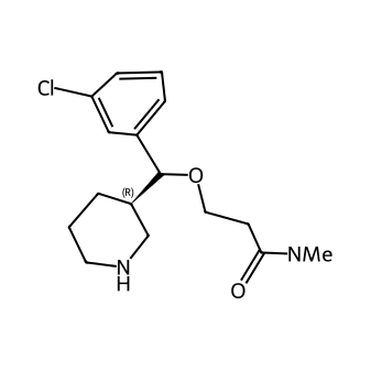 CNC(=O)CCOC(c1cccc(Cl)c1)[C@@H]1CCCNC1